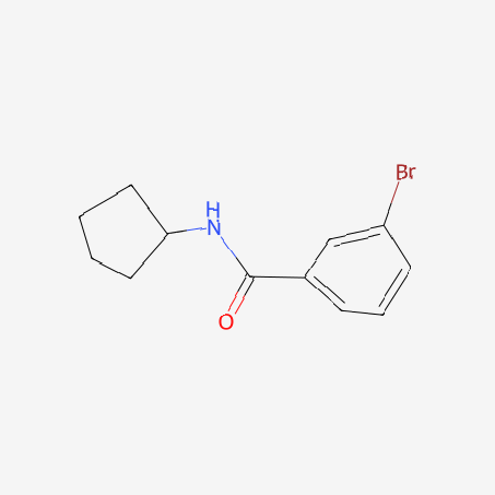 O=C(NC1CCCC1)c1cccc(Br)c1